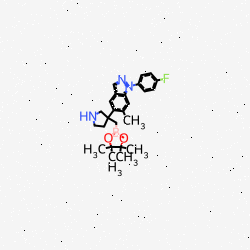 Cc1cc2c(cnn2-c2ccc(F)cc2)cc1C1(CB2OC(C)(C)C(C)(C)O2)CCNC1